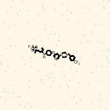 C=C/C(=C\C=C(/C)S(=O)(=O)C(F)(F)F)N[C@H]1CC[C@H](Oc2cncc(N3CCN(Cc4ccc(C(F)(F)F)cc4)CC3)c2)CC1